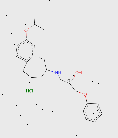 CC(C)Oc1ccc2c(c1)CC(NC[C@H](O)COc1ccccc1)CCC2.Cl